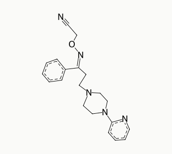 N#CCO/N=C(/CCN1CCN(c2ccccn2)CC1)c1ccccc1